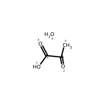 CC(=O)C(=O)O.O